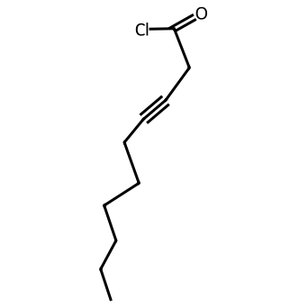 CCCCCCC#CCC(=O)Cl